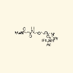 CNC(=O)CCC(=O)NCCOCCOCCN(C)[C@H](C(=O)NC(C(C)=O)C(C)C)C(C)C